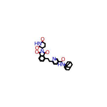 O=C1CCC(N2C(=O)c3cccc(CCc4ccc(C(=O)NC56CC7CC(CC(C7)C5)C6)cn4)c3C2=O)C(=O)N1